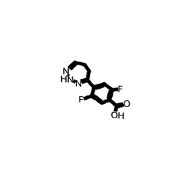 O=C(O)c1cc(F)c(C2=NNN=CCC2)cc1F